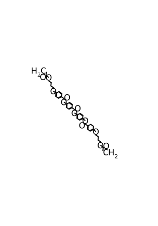 C=CC(=O)OCCCCOC1=CC=C(C(=O)Oc2ccc(OC(=O)c3ccc(OC(=O)c4ccc(OCCCCOC(=O)C=C)cc4)cc3)cc2)CC1